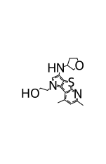 Cc1cc(C)c2c(n1)sc1c(NC3CCOC3)cn(CCO)c12